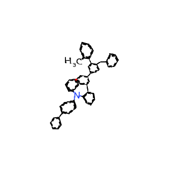 Cc1ccccc1-c1cc(-c2cccc(-c3ccccc3N(c3ccccc3)c3ccc(-c4ccccc4)cc3)c2)ccc1Cc1ccccc1